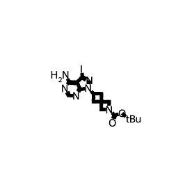 CC(C)(C)OC(=O)N1CC2(CC(n3nc(I)c4c(N)ncnc43)C2)C1